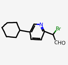 O=CC(Br)c1ccc(C2CCCCC2)cn1